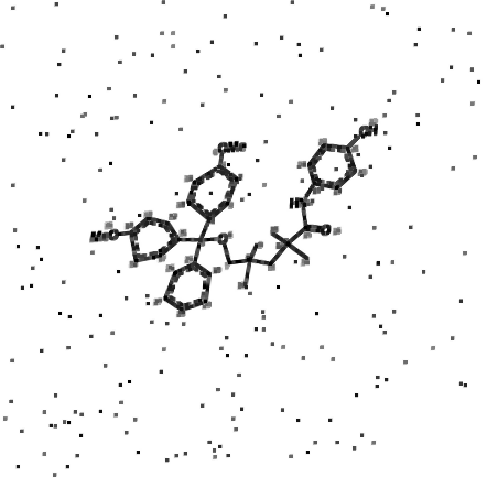 COc1ccc(C(OCC(C)(C)CC(C)(C)C(=O)Nc2ccc(O)cc2)(c2ccccc2)c2ccc(OC)cc2)cc1